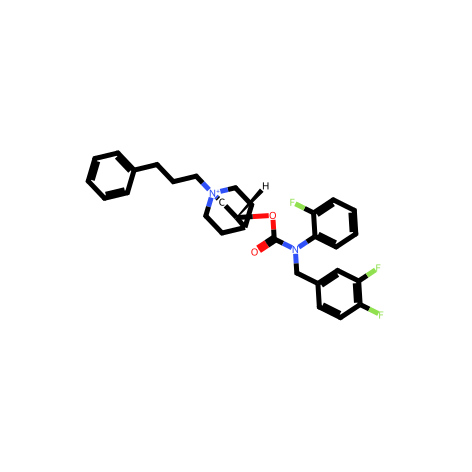 O=C(O[C@H]1C[N+]2(CCCc3ccccc3)CCC1CC2)N(Cc1ccc(F)c(F)c1)c1ccccc1F